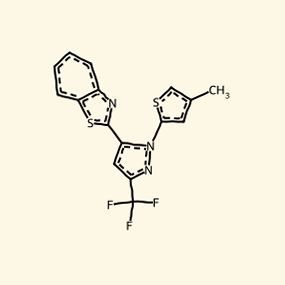 Cc1csc(-n2nc(C(F)(F)F)cc2-c2nc3ccccc3s2)c1